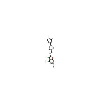 CCCc1cc(F)c2c(F)c(CCC3CCC(c4cc(F)c(F)c(F)c4)CC3)sc2c1